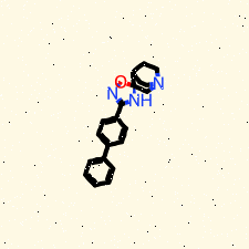 c1ccc(-c2ccc(C3=NO[C@]4(CN5CCC4CC5)N3)cc2)cc1